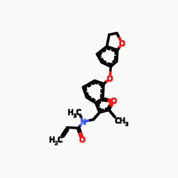 C=CC(=O)N(C)Cc1c(C)oc2c(Oc3ccc4c(c3)OCC4)cccc12